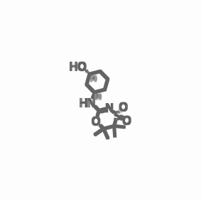 CC1(C)OC(N[C@@H]2CCC[C@@H](O)C2)=NS(=O)(=O)C1(C)C